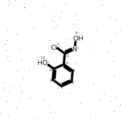 O/N=C(\Cl)c1ccccc1O